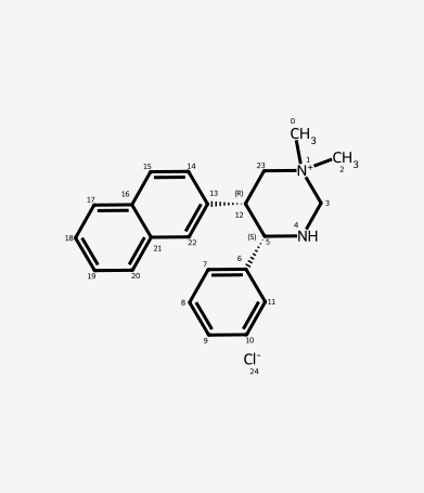 C[N+]1(C)CN[C@H](c2ccccc2)[C@H](c2ccc3ccccc3c2)C1.[Cl-]